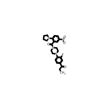 CCC(=O)c1ccc(N2CCN(C(=O)c3cc([N+](=O)[O-])ccc3N3CCCC3)CC2)c(F)c1